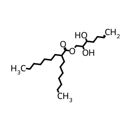 C=CCCC(O)C(O)COC(=O)C(CCCCCCC)CCCCCCC